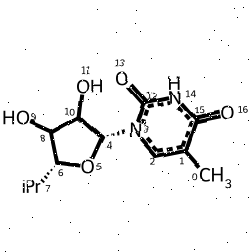 Cc1cn([C@@H]2O[C@H](C(C)C)C(O)C2O)c(=O)[nH]c1=O